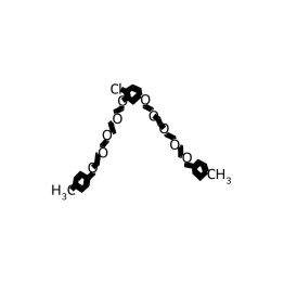 Cc1ccc(COCCOCCOCCOCCOc2ccc(Cl)c(OCCOCCOCCOCCOCc3ccc(C)cc3)c2)cc1